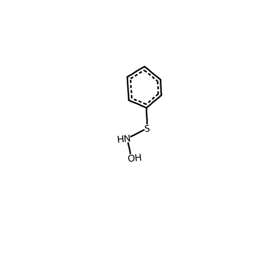 ONSc1ccccc1